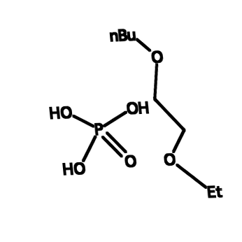 CCCCOCCOCC.O=P(O)(O)O